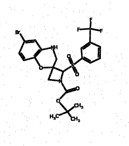 CC(C)(C)OC(=O)N1CC2(CNc3cc(Br)ccc3O2)C1S(=O)(=O)c1cccc(C(F)(F)F)c1